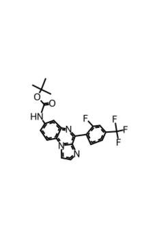 CC(C)(C)OC(=O)Nc1ccc2c(c1)nc(-c1ccc(C(F)(F)F)cc1F)c1nccn12